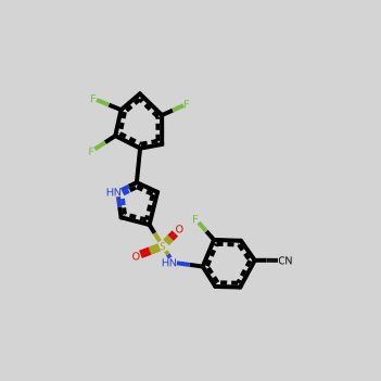 N#Cc1ccc(NS(=O)(=O)c2c[nH]c(-c3cc(F)cc(F)c3F)c2)c(F)c1